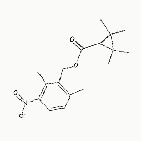 Cc1ccc([N+](=O)[O-])c(C)c1COC(=O)C1C(C)(C)C1(C)C